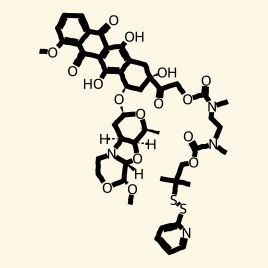 COc1cccc2c1C(=O)c1c(O)c3c(c(O)c1C2=O)C[C@@](O)(C(=O)COC(=O)N(C)CCN(C)C(=O)OCC(C)(C)SSc1ccccn1)C[C@@H]3O[C@H]1C[C@H]2[C@H](O[C@@H]3[C@@H](OC)OCCN32)[C@H](C)O1